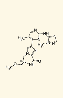 COC[C@H]1Cn2cc(-c3nc(Nc4ccnn4C)ncc3C)nc2C(=O)N1